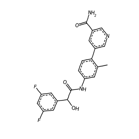 Cc1cc(NC(=O)C(O)c2cc(F)cc(F)c2)ccc1-c1cncc(C(N)=O)c1